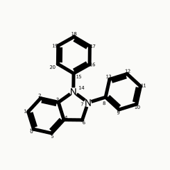 [c]1ccc2c(c1)CN(c1ccccc1)N2c1ccccc1